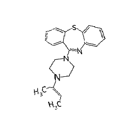 CC=C(C)N1CCN(C2=Nc3ccccc3Sc3ccccc32)CC1